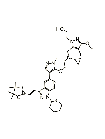 CCOc1nn(CCO)c(CN(C[C@H](C)Oc2c(-c3cc4c(/C=C/B5OC(C)(C)C(C)(C)O5)nn(C5CCCCO5)c4cn3)cnn2C)C2CC2)c1I